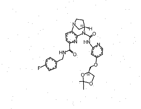 CC1(C)OC[C@H](COc2ccnc(NC(=O)N3c4nc(C(=O)NCc5ccc(F)cc5)ccc4N4CC[C@H]3C4)c2)O1